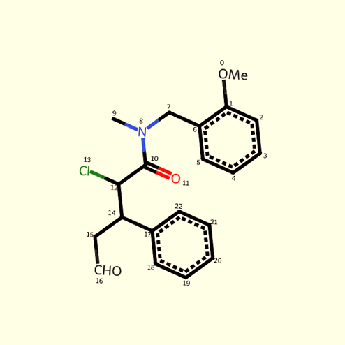 COc1ccccc1CN(C)C(=O)C(Cl)C(CC=O)c1ccccc1